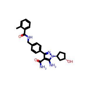 Cc1ccccc1C(=O)NCc1ccc(-c2nn([C@H]3CC[C@H](O)C3)c(N)c2C(N)=O)cc1